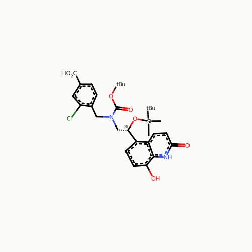 CC(C)(C)OC(=O)N(Cc1ccc(C(=O)O)cc1Cl)C[C@H](O[Si](C)(C)C(C)(C)C)c1ccc(O)c2[nH]c(=O)ccc12